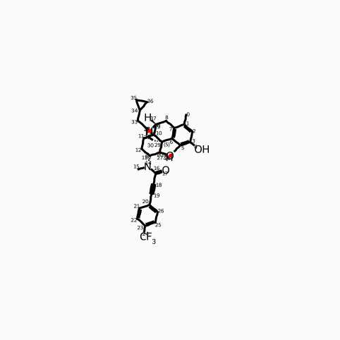 Cc1cc(O)c2c3c1C[C@@H]1[C@@H]4CC[C@@H](N(C)C(=O)C#Cc5ccc(C(F)(F)F)cc5)[C@H](O2)[C@]34CCN1CC1CC1